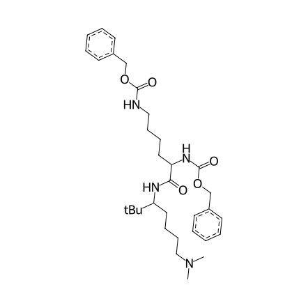 CN(C)CCCCC(NC(=O)C(CCCCNC(=O)OCc1ccccc1)NC(=O)OCc1ccccc1)C(C)(C)C